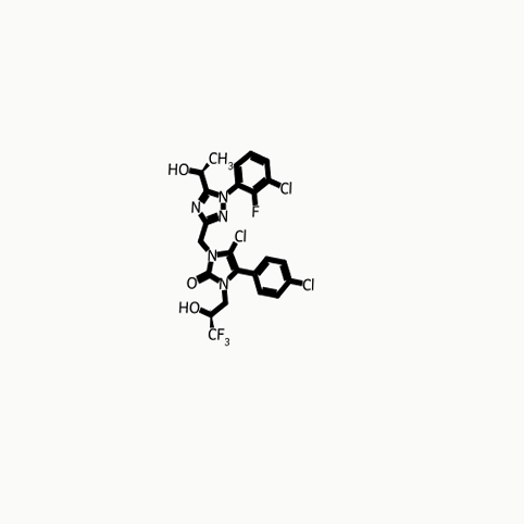 C[C@H](O)c1nc(Cn2c(Cl)c(-c3ccc(Cl)cc3)n(C[C@H](O)C(F)(F)F)c2=O)nn1-c1cccc(Cl)c1F